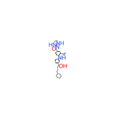 O=C(N=C1NCCCN1)c1ccc(Nc2cccc(C(O)CCCC3CCCCC3)c2)c(C2CC2)c1